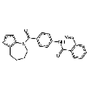 CSc1ccccc1C(=O)Nc1ccc(C(=O)N2CCCCc3sccc32)cc1